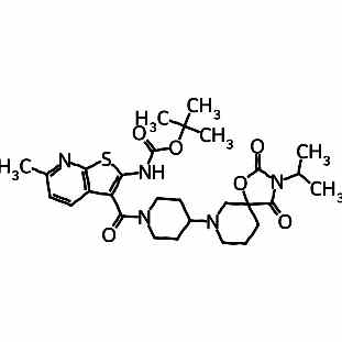 Cc1ccc2c(C(=O)N3CCC(N4CCCC5(C4)OC(=O)N(C(C)C)C5=O)CC3)c(NC(=O)OC(C)(C)C)sc2n1